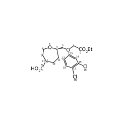 CCOC(=O)COC[C@@H]1OCCN(C(=O)O)C[C@H]1c1ccc(Cl)c(Cl)c1